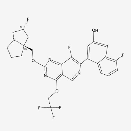 Oc1cc(-c2ncc3c(OCC(F)(F)F)nc(OC[C@@]45CCCN4C[C@H](F)C5)nc3c2F)c2cccc(F)c2c1